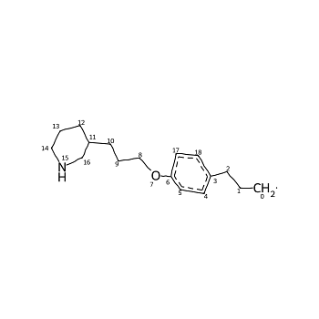 [CH2]CCc1ccc(OCCCC2CCCNC2)cc1